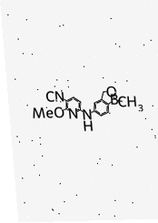 [C-]#[N+]c1ccc(Nc2ccc3c(c2)COB3C)nc1OC